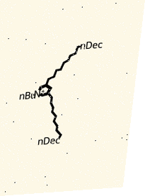 CCCCCCCCCCCCCCCCCCCc1cc(CCCCCCCCCCCCCCCCCCC)c[n+](CCCC)c1